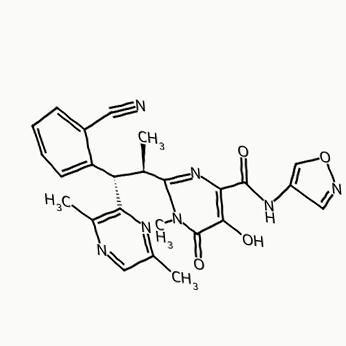 Cc1cnc(C)c([C@H](c2ccccc2C#N)[C@@H](C)c2nc(C(=O)Nc3cnoc3)c(O)c(=O)n2C)n1